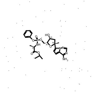 CC(C)OC(=O)[C@@H](C)NP(=O)(OC[C@H]1O[C@@](C)(c2ccc3c(N)ncnn23)C[C@@H]1O)Oc1ccccc1